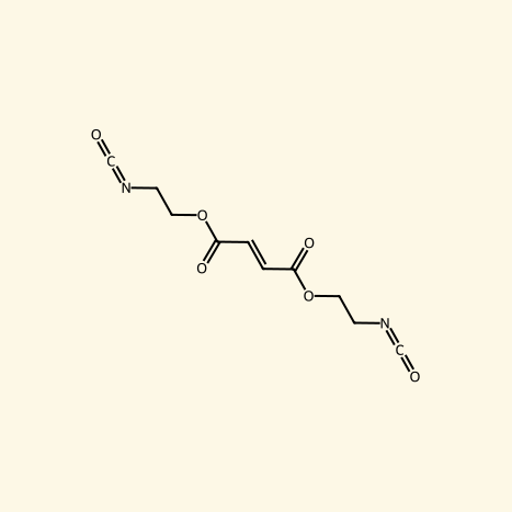 O=C=NCCOC(=O)/C=C/C(=O)OCCN=C=O